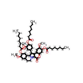 CCCCCCCC(=O)Oc1ccc(-c2c3n(c4c(=O)oc5cc(OC(=O)CCCCCCC)c(OC)cc5c24)CCc2cc(OC)c(OC(=O)CCCCCCC)cc2-3)cc1OC